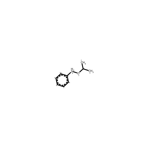 C[C](C)O[SiH2]c1ccccc1